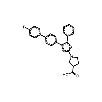 O=C(O)C1CCN(c2nc(-c3ccc(-c4ccc(F)cc4)cc3)c(-c3ccccc3)s2)C1